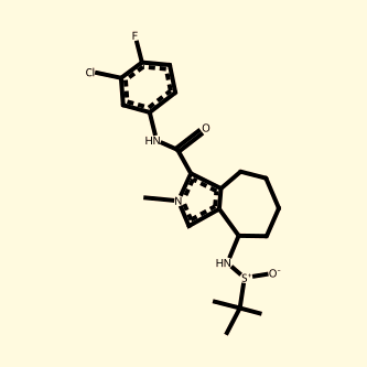 Cn1cc2c(c1C(=O)Nc1ccc(F)c(Cl)c1)CCCCC2N[S+]([O-])C(C)(C)C